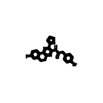 O=C(Cc1ccc(Br)cc1)Nc1nc2c(nc1-c1cccs1)-c1ccc(F)cc1CC2